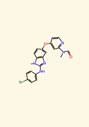 CN(C=O)c1cc(Oc2ccc3c(c2)nc(Nc2ccc(Br)cc2)n3C)ccn1